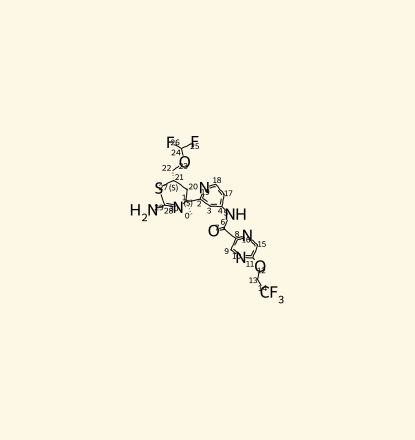 C[C@@]1(c2cc(NC(=O)c3cnc(OCC(F)(F)F)cn3)ccn2)C[C@@H](COC(F)F)SC(N)=N1